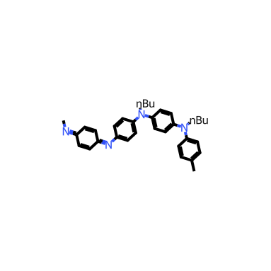 CCCCN(c1ccc(C)cc1)c1ccc(N(CCCC)c2ccc(N=C3C=CC(=NC)C=C3)cc2)cc1